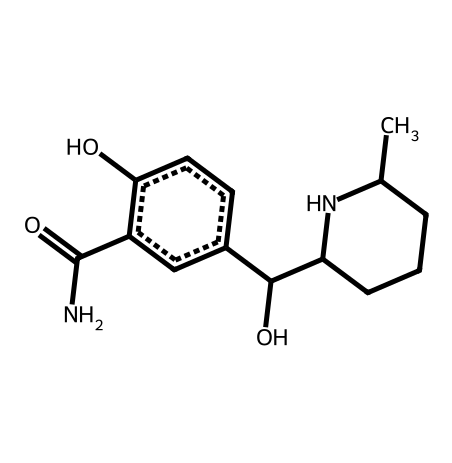 CC1CCCC(C(O)c2ccc(O)c(C(N)=O)c2)N1